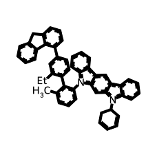 CCc1cc(-c2cccc3c2-c2ccccc2C3)ccc1-c1c(C)cccc1-n1c2ccccc2c2cc3c4ccccc4n(C4C=CC=CC4)c3cc21